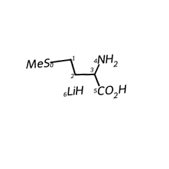 CSCCC(N)C(=O)O.[LiH]